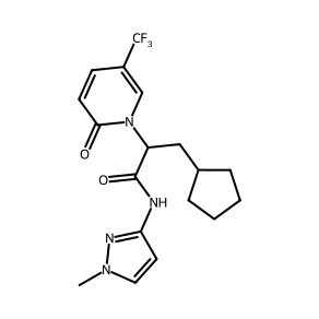 Cn1ccc(NC(=O)C(CC2CCCC2)n2cc(C(F)(F)F)ccc2=O)n1